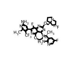 Cc1nc(N)cc(-c2nc3c4c(nc(OC[C@@]56CCCN5C[C@H](F)C6)nc4c2F)N([C@H](C)c2cc(F)cnc2N)CCO3)c1C(F)(F)F